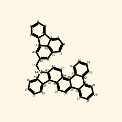 c1ccc2c(c1)-c1cccc3cc(Cn4c5ccccc5c5c6ccc7c8ccccc8c8ccccc8c7c6ccc54)cc-2c13